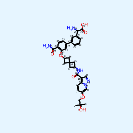 CC(C)(O)COc1ccc2c(C(=O)NC3CC4(C3)CC(Oc3cc(-c5cccc(C(N)C(=O)O)c5)ccc3C(N)=O)C4)cnn2c1